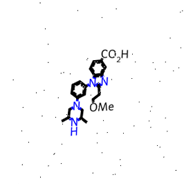 COCCc1nc2cc(C(=O)O)ccc2n1-c1cccc(N2CC(C)NC(C)C2)c1